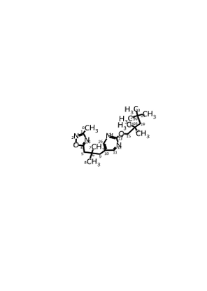 Cc1noc(CC(C)(C)Cc2cnc(OCC(C)(C)CC(C)(C)C)nc2)n1